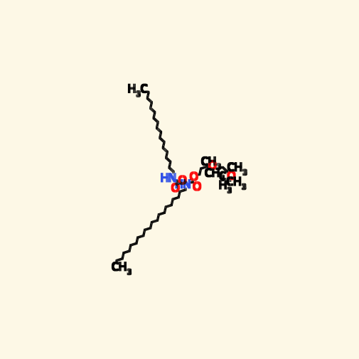 CCCCCCCCCCCCCCCCCCCC(CNC(=O)OCCC(C)(C)OCCC(C)(C)OC)OC(=O)NCCCCCCCCCCCCCCCCCC